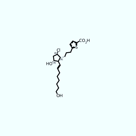 O=C(O)c1ccc(CCC[C@@H]2C(C=CCCCCCCO)[C@H](O)C[C@H]2Cl)s1